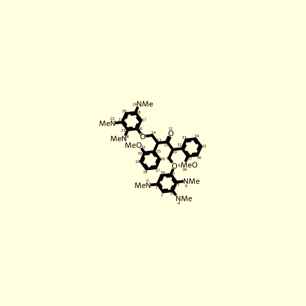 CNc1cc(NC)c(NC)c(OCC(C(=O)C(COc2cc(NC)cc(NC)c2NC)c2ccccc2OC)c2ccccc2OC)c1